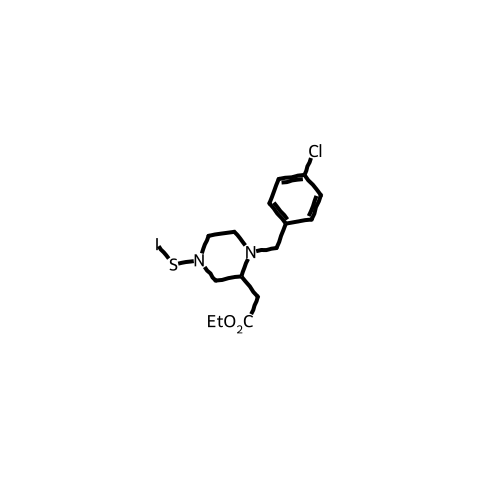 CCOC(=O)CC1CN(SI)CCN1Cc1ccc(Cl)cc1